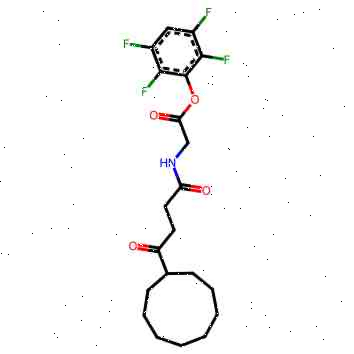 O=C(CCC(=O)C1CCCCCCCC1)NCC(=O)Oc1c(F)c(F)cc(F)c1F